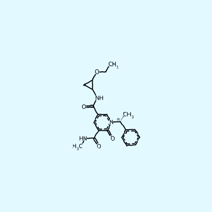 CCOC1CC1NC(=O)c1cc(C(=O)NC)c(=O)n([C@H](C)c2ccccc2)c1